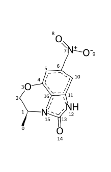 C[C@H]1COc2cc([N+](=O)[O-])cc3[nH]c(=O)n1c23